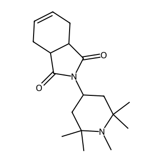 CN1C(C)(C)CC(N2C(=O)C3CC=CCC3C2=O)CC1(C)C